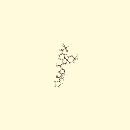 CS(=O)(=O)Nc1ccc2c(c1)C1(CCC3(CC3)CC1)CN2C(=O)c1csc(S(=O)(=O)C2CCCC2)c1